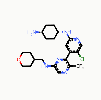 N[C@H]1CC[C@H](Nc2cc(-c3nc(NCC4CCOCC4)cnc3C(F)(F)F)c(Cl)cn2)CC1